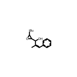 CC(=Cc1ccccc1)C(O)C1OC1C(C)(C)C